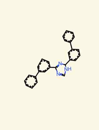 C1=NC(c2cccc(-c3ccccc3)c2)=NC(c2cccc(-c3ccccc3)c2)N1